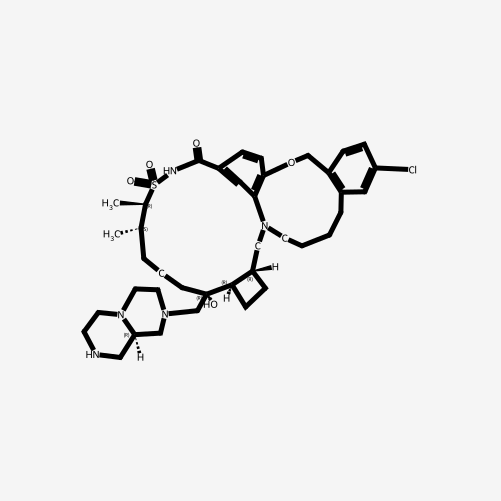 C[C@@H]1[C@@H](C)CCC[C@](O)(CN2CCN3CCNC[C@@H]3C2)[C@@H]2CC[C@H]2CN2CCCCc3cc(Cl)ccc3COc3ccc(cc32)C(=O)NS1(=O)=O